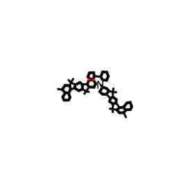 Cc1cc2c(c3ccccc13)-c1cc3c(cc1C2(C)C)-c1ccc(N(c2ccc4c(c2)C(C)(C)c2cc5c(cc2-4)C(C)(C)c2cc(C)c4ccccc4c2-5)c2ccccc2-c2ccccc2)cc1C3(C)C